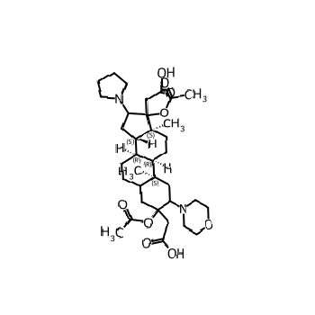 CC(=O)OC1(CC(=O)O)CC2CC[C@@H]3[C@@H](CC[C@@]4(C)[C@H]3CC(N3CCCC3)C4(CC(=O)O)OC(C)=O)[C@@]2(C)CC1N1CCOCC1